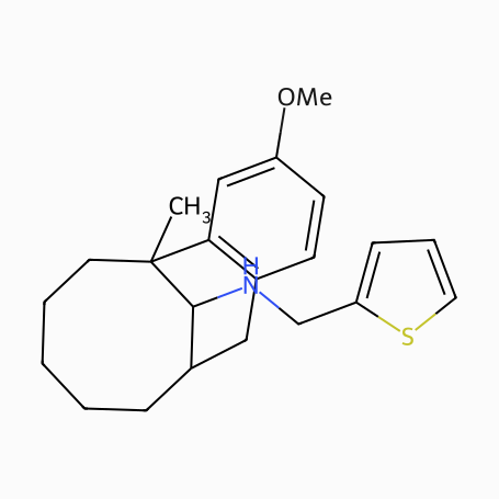 COc1ccc2c(c1)C1(C)CCCCCC(C2)C1NCc1cccs1